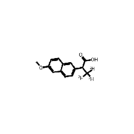 [2H]C([2H])([2H])C(C(=O)O)c1ccc2cc(OC)ccc2c1